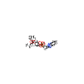 C=C(Cc1ccc(OS(=O)(=O)c2cccc(-n3nc4ccccc4n3)c2)cc1)C(=O)OCCC